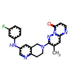 Cc1cc2nccc(=O)n2nc1N1CCc2ncc(Nc3cccc(F)c3)cc2C1